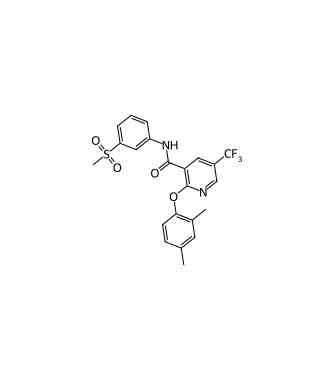 Cc1ccc(Oc2ncc(C(F)(F)F)cc2C(=O)Nc2cccc(S(C)(=O)=O)c2)c(C)c1